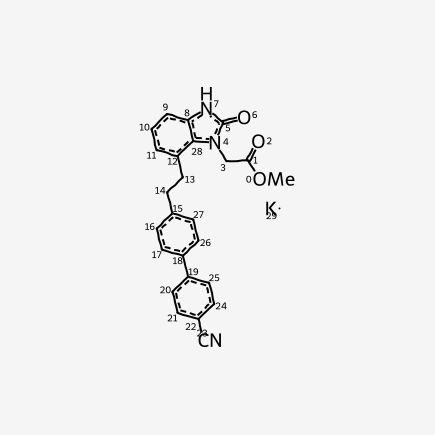 COC(=O)Cn1c(=O)[nH]c2cccc(CCc3ccc(-c4ccc(C#N)cc4)cc3)c21.[K]